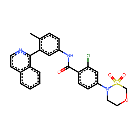 Cc1ccc(NC(=O)c2ccc(N3CCOCS3(=O)=O)cc2Cl)cc1-c1nccc2ccccc12